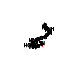 Cc1ncsc1-c1ccc([C@H](C)NC(=O)C2CC(O)CN2C(=O)[C@@H](NC(=O)COCCOCCOc2ccc(-c3nccc(Nc4cc5c(cn4)nc(C)n5C(C)C)n3)cc2)C(C)(C)C)cc1